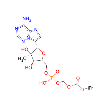 CC(C)OC(=O)OCOP(=O)(O)OC[C@H]1O[C@@H](c2cnc3c(N)ncnn23)[C@](C)(O)[C@@H]1O